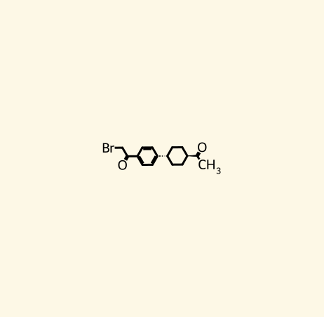 CC(=O)[C@H]1CC[C@H](c2ccc(C(=O)CBr)cc2)CC1